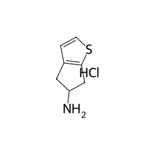 Cl.NC1Cc2ccsc2C1